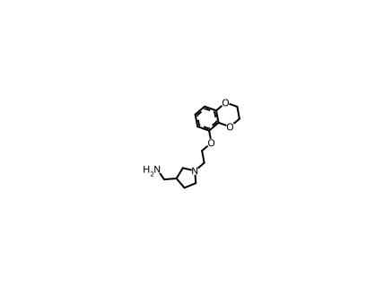 NCC1CCN(CCOc2cccc3c2OCCO3)C1